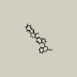 O=C(O)CC(c1ccccc1)n1cnc2cc(NC(=O)c3cc4ccccc4[nH]3)ccc21